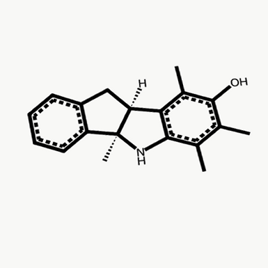 Cc1c(C)c2c(c(C)c1O)[C@@H]1Cc3ccccc3[C@]1(C)N2